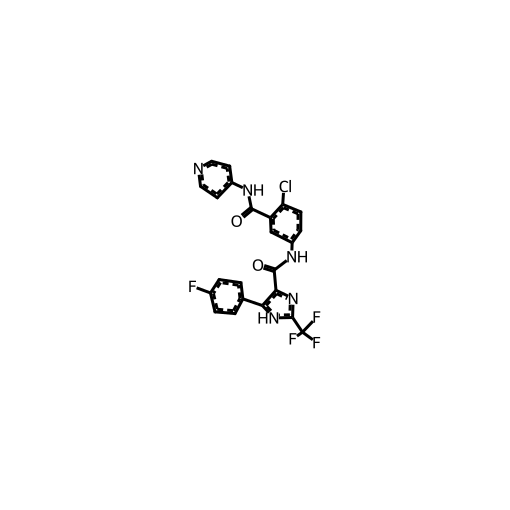 O=C(Nc1ccncc1)c1cc(NC(=O)c2nc(C(F)(F)F)[nH]c2-c2ccc(F)cc2)ccc1Cl